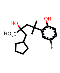 CC(C)(CC(O)(CC1CCCC1)C(=O)O)c1cc(F)ccc1O